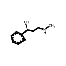 CNCC[C@H](O)c1ccccc1